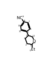 CCC1CCC(c2ccc(C#N)cc2)CO1